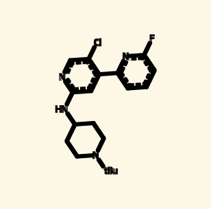 CC(C)(C)N1CCC(Nc2cc(-c3cccc(F)n3)c(Cl)cn2)CC1